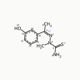 C/C(=N/N(C)C(N)=S)c1cccc(O)c1